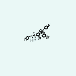 O=S(=O)(c1ccc(NC(=S)NCc2ccncc2)cc1)N(Cc1ccc(F)cc1)Cc1cc(Br)cc(Br)c1